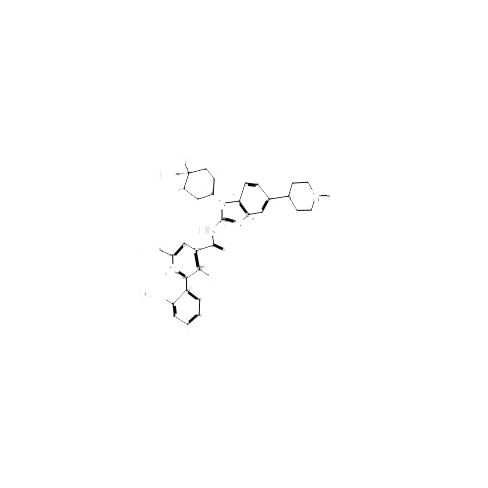 COc1ccccc1-c1nc(C)cc(C(=O)Nc2nc3cc(C4CCN(C)CC4)ccc3n2[C@H]2CC[C@@](C)(O)CC2)c1F